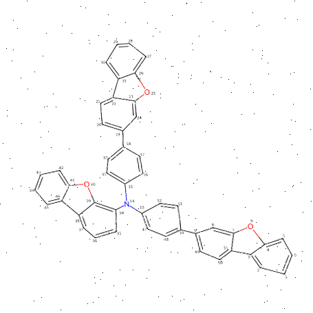 c1ccc2c(c1)oc1cc(-c3ccc(N(c4ccc(-c5ccc6c(c5)oc5ccccc56)cc4)c4cccc5c4oc4ccccc45)cc3)ccc12